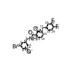 O=C(NCc1cc(Br)c[n+]([O-])c1)c1cccn(Cc2ccc(F)c(F)c2)c1=O